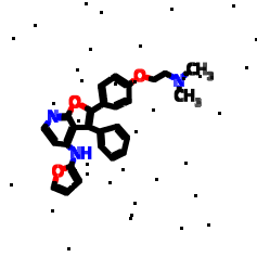 CN(C)CCOc1ccc(-c2oc3nccc(Nc4ccco4)c3c2-c2ccccc2)cc1